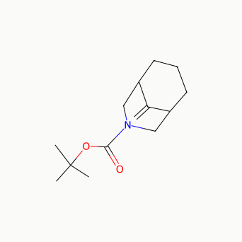 C=C1C2CCCC1CN(C(=O)OC(C)(C)C)C2